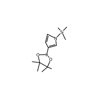 CC1(C)OB(c2ccn([Si](C)(C)C)c2)OC1(C)C